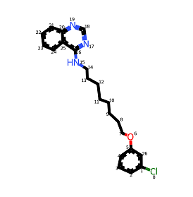 Clc1cccc(OCCCCCCCCNc2ncnc3ccccc23)c1